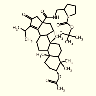 CC(=O)O[C@H]1CC[C@@]2(C)C(CC[C@@]3(C)C4CCC5(C(=O)NCC6CCCN6C(=O)OC(C)(C)C)CC(=O)C(C(C)C)=C5C4CCC32)C1(C)C